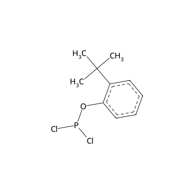 CC(C)(C)c1ccccc1OP(Cl)Cl